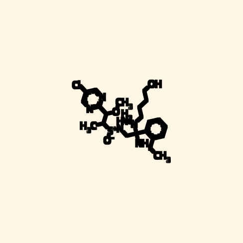 CCc1ccccc1C(N)(CN[S+]([O-])C(C)C(OC)c1ncc(Cl)cn1)N(N)CCCCO